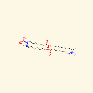 CCCCCCCCCOC(=O)CCCCCCN.CCCCCCCCCOC(=O)CCCCCCNC(=O)O